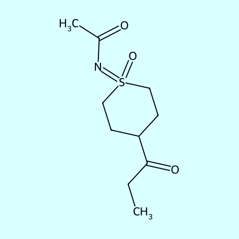 CCC(=O)C1CCS(=O)(=NC(C)=O)CC1